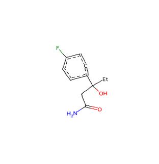 CCC(O)(CC(N)=O)c1ccc(F)cc1